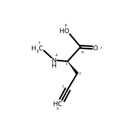 C#CC[C@@H](NC)C(=O)O